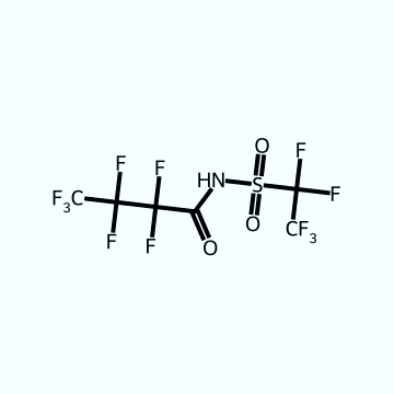 O=C(NS(=O)(=O)C(F)(F)C(F)(F)F)C(F)(F)C(F)(F)C(F)(F)F